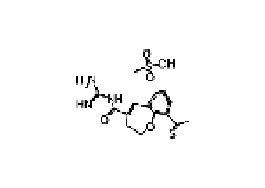 CC(=S)c1cccc2c1OCCC(C(=O)NC(=N)N)=C2.CS(=O)(=O)O